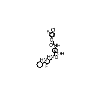 O=C(COc1ccc(Cl)c(F)c1)NC12CCC(C(=O)NCC3CNC(C4CCCCCC4)C(F)C3)(CC1)C(O)C2